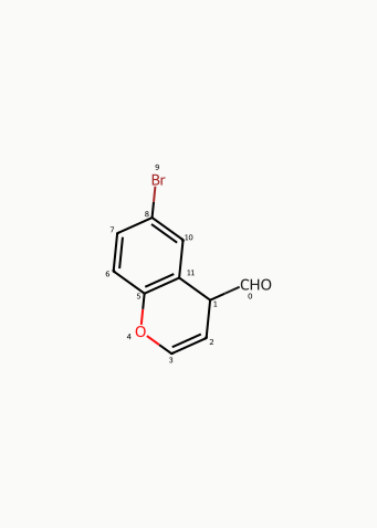 O=CC1C=COc2ccc(Br)cc21